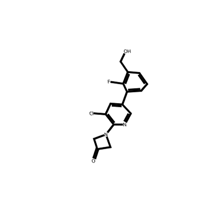 O=C1CN(c2ncc(-c3cccc(CO)c3F)cc2Cl)C1